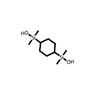 C[Si](C)(O)C1CCC([Si](C)(C)O)CC1